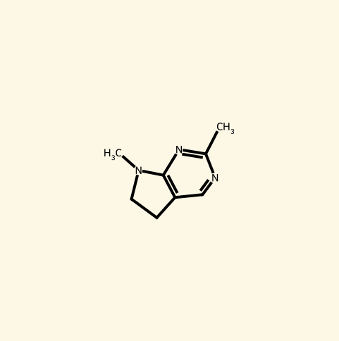 Cc1ncc2c(n1)N(C)CC2